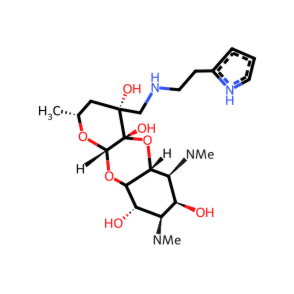 CN[C@@H]1[C@H](O)[C@H](NC)[C@H]2O[C@]3(O)[C@H](OC2[C@H]1O)O[C@H](C)C[C@@]3(O)CNCCc1ccc[nH]1